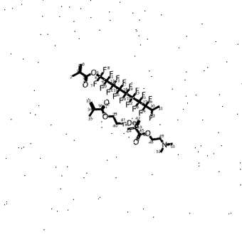 C=C(C)C(=O)OC(F)(F)C(F)(F)C(F)(F)C(F)(F)C(F)(F)C(F)(F)C(F)(F)C(F)(F)C(C)F.C=C(C)C(=O)OCCCCCCCCCCCC.C=C(C)C(=O)OCCN(C)C